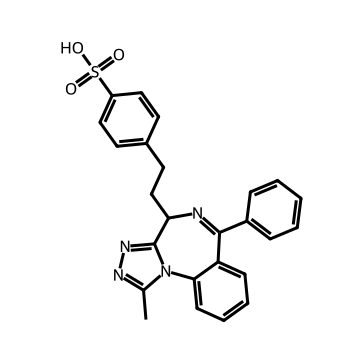 Cc1nnc2n1-c1ccccc1C(c1ccccc1)=NC2CCc1ccc(S(=O)(=O)O)cc1